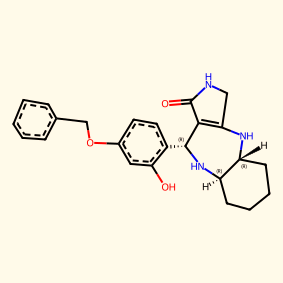 O=C1NCC2=C1[C@@H](c1ccc(OCc3ccccc3)cc1O)N[C@@H]1CCCC[C@H]1N2